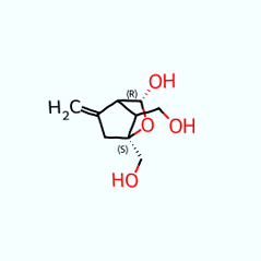 C=C1C[C@]2(CO)O[C@@H](O)C1C2CO